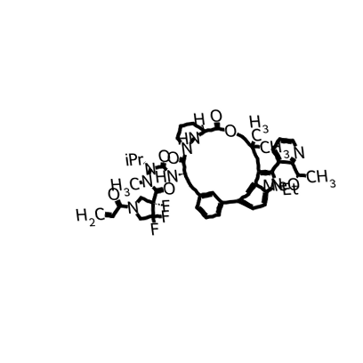 C=CC(=O)N1CC(F)(F)[C@](F)(C(=O)N(C)N(C(=O)N[C@H]2Cc3cccc(c3)-c3ccc4c(c3)c(c(-c3cccnc3[C@H](C)OC)n4CC)CC(C)(C)COC(=O)[C@@H]3CCCN(N3)C2=O)C(C)C)C1